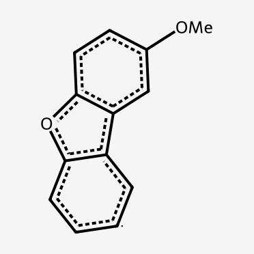 COc1ccc2oc3cc[c]cc3c2c1